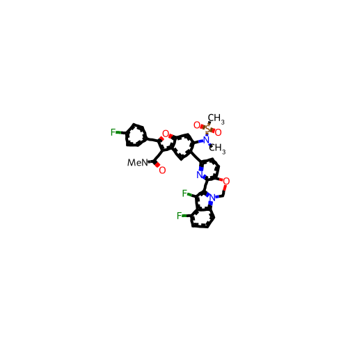 CNC(=O)c1c(-c2ccc(F)cc2)oc2cc(N(C)S(C)(=O)=O)c(-c3ccc4c(n3)-c3c(F)c5c(F)cccc5n3CO4)cc12